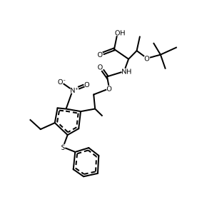 CCc1cc([N+](=O)[O-])c(C(C)COC(=O)NC(C(=O)O)C(C)OC(C)(C)C)cc1Sc1ccccc1